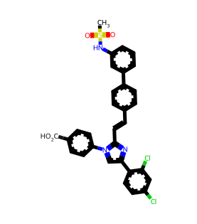 CS(=O)(=O)Nc1cccc(-c2ccc(C=Cc3nc(-c4ccc(Cl)cc4Cl)cn3-c3ccc(C(=O)O)cc3)cc2)c1